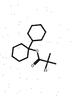 CCC(C)(C)C(=O)OC1(C2CCCCC2)CCCCC1